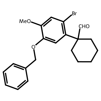 COc1cc(Br)c(C2(C=O)CCCCC2)cc1OCc1ccccc1